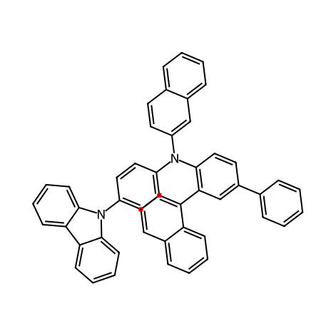 c1ccc(-c2ccc(N(c3ccc(-n4c5ccccc5c5ccccc54)cc3)c3ccc4ccccc4c3)c(-c3cccc4ccccc34)c2)cc1